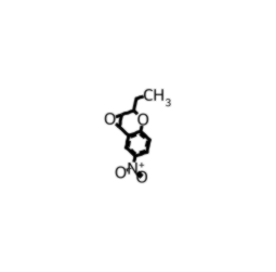 CCC1Oc2ccc([N+](=O)[O-])cc2C2OC12